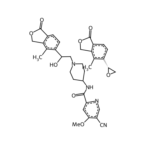 COc1cc(C(=O)NC2CCN(CC(O)c3ccc4c(c3C)COC4=O)CC2)ncc1C#N.Cc1c([C@@H]2CO2)ccc2c1COC2=O